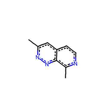 Cc1cc2ccnc(C)c2nn1